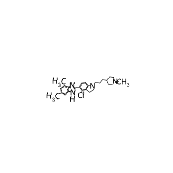 Cc1cc(C)c2nc(-c3ccc4c(c3Cl)CCN4CCCC3CCN(C)CC3)[nH]c2c1